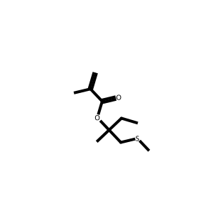 C=C(C)C(=O)OC(C)(CC)CSC